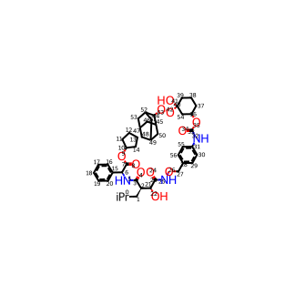 CC(C)C[C@@H](C(=O)N[C@H](C(=O)OC1CCCC1)c1ccccc1)[C@H](O)C(=O)NOCc1ccc(NC(=O)OC2CCC[C@@](O)(OOC3C4CC5CC(C4)CC3C5)C2)cc1